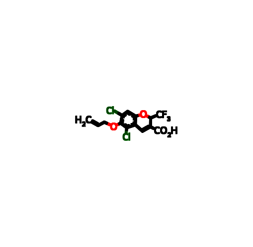 C=CCOc1c(Cl)cc2c(c1Cl)C=C(C(=O)O)C(C(F)(F)F)O2